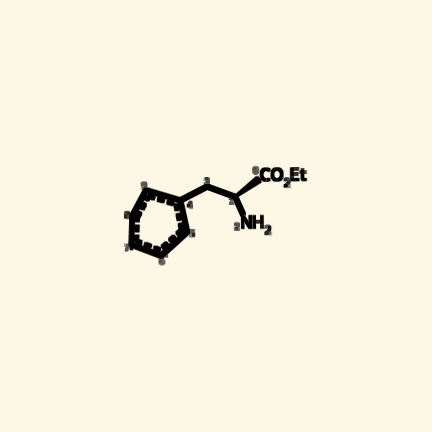 CCOC(=O)[C@@H](N)Cc1c[c][c]cc1